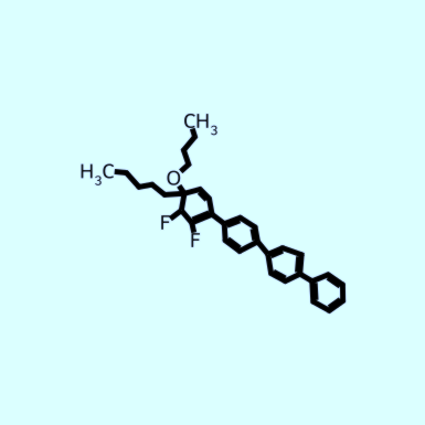 CCCCCC1(OCCCC)C=CC(c2ccc(-c3ccc(-c4ccccc4)cc3)cc2)=C(F)C1F